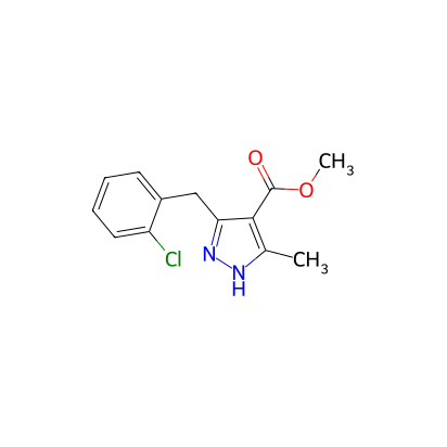 COC(=O)c1c(Cc2ccccc2Cl)n[nH]c1C